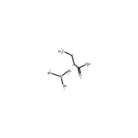 CC(C)N(C(C)C)C(C)C.CCCC(=O)O